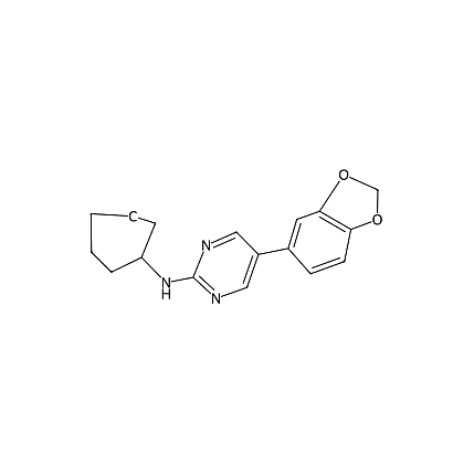 c1cc2c(cc1-c1cnc(NC3CCCCC3)nc1)OCO2